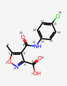 Cc1onc(C(=O)O)c1C(=O)Nc1ccc(Cl)cc1